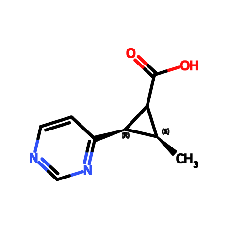 C[C@@H]1C(C(=O)O)[C@@H]1c1ccncn1